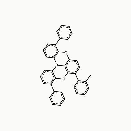 Cc1ccccc1-c1ccc2c3c1Oc1c(cccc1-c1ccccc1)B3c1cccc(-c3ccccc3)c1O2